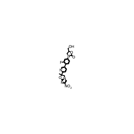 CC1(c2ccc(-c3ccc(N4CC(CO)OC4=O)cc3F)cn2)Cn2cc([N+](=O)[O-])nc2O1